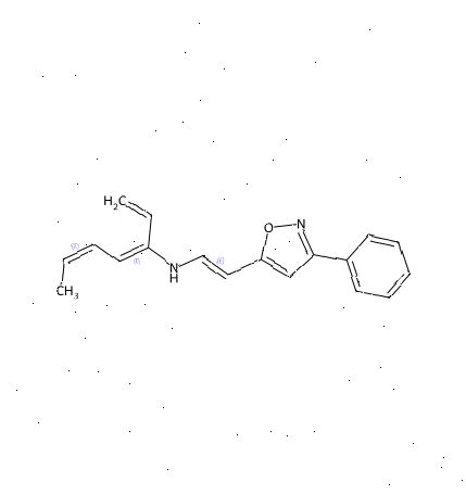 C=C/C(=C\C=C/C)N/C=C/c1cc(-c2ccccc2)no1